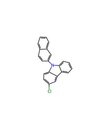 Clc1ccc2c(c1)c1ccccc1n2-c1ccc2ccccc2c1